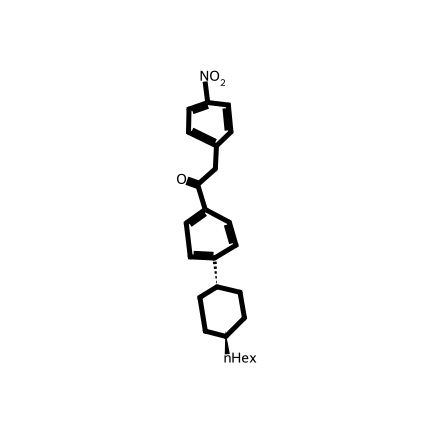 CCCCCC[C@H]1CC[C@H](c2ccc(C(=O)Cc3ccc([N+](=O)[O-])cc3)cc2)CC1